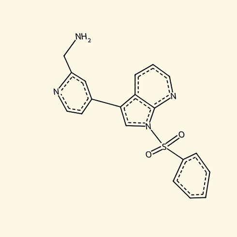 NCc1cc(-c2cn(S(=O)(=O)c3ccccc3)c3ncccc23)ccn1